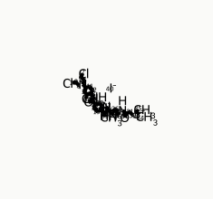 Cc1cc(N(CCCl)CCCl)ccc1NC(=O)c1ccc2c(c1)nc(-c1cc(NC(=O)CC[S+](C)C)c[nH]1)n2C.[I-]